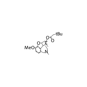 COc1ccc2c3c1OC1C[C@@H](OC(=O)CC(C)(C)C)CC(C)[C@@]31CCN(C)C2